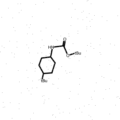 CC(C)(C)OC(=O)NC1CCC(C(C)(C)C)CC1